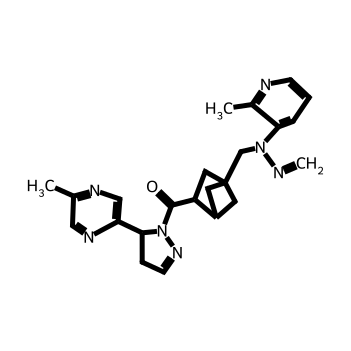 C=NN(CC12CC(C1)C(C(=O)N1N=CCC1c1cnc(C)cn1)C2)c1cccnc1C